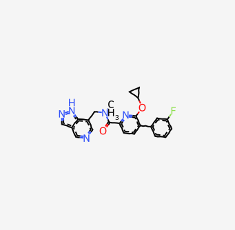 CN(Cc1cncc2cn[nH]c12)C(=O)c1ccc(-c2cccc(F)c2)c(OC2CC2)n1